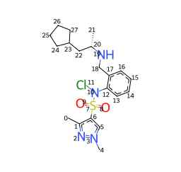 Cc1nn(C)cc1S(=O)(=O)N(Cl)c1ccccc1CN[C@@H](C)CC1CCCC1